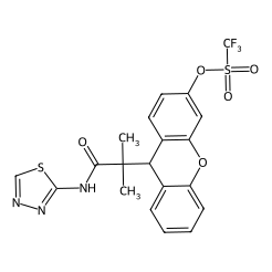 CC(C)(C(=O)Nc1nncs1)C1c2ccccc2Oc2cc(OS(=O)(=O)C(F)(F)F)ccc21